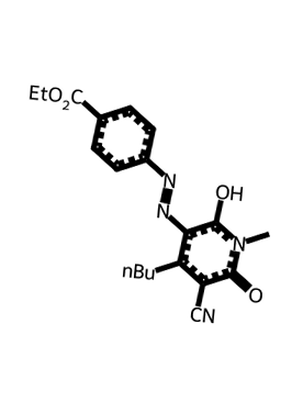 CCCCc1c(/N=N/c2ccc(C(=O)OCC)cc2)c(O)n(C)c(=O)c1C#N